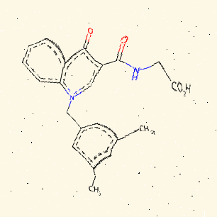 Cc1cc(C)cc(Cn2cc(C(=O)NCC(=O)O)c(=O)c3ccccc32)c1